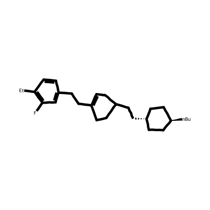 CCCC[C@H]1CC[C@H](CCC2CC=C(CCc3ccc(CC)c(F)c3)CC2)CC1